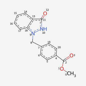 COC(=O)c1ccc(Cn2[nH]c(=O)c3ccccc32)cc1